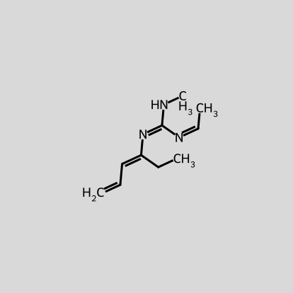 C=C/C=C(CC)/N=C(\N=C/C)NC